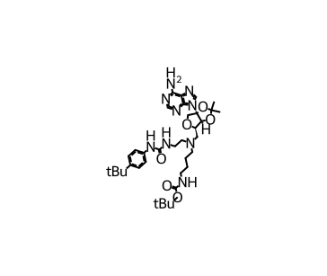 CC(C)(C)OC(=O)NCCCCN(CCNC(=O)Nc1ccc(C(C)(C)C)cc1)C[C@H]1OC[C@@]2(n3cnc4c(N)ncnc43)OC(C)(C)O[C@H]12